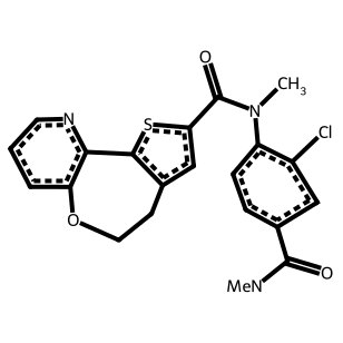 CNC(=O)c1ccc(N(C)C(=O)c2cc3c(s2)-c2ncccc2OCC3)c(Cl)c1